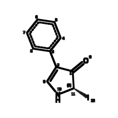 O=C1C(c2ccccc2)=CN[C@H]1I